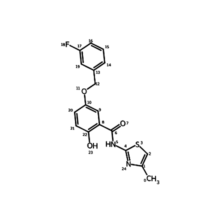 Cc1csc(NC(=O)c2cc(OCc3cccc(F)c3)ccc2O)n1